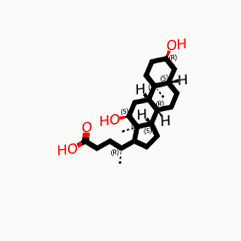 C[C@H](CCC(=O)O)C1CC[C@H]2[C@@H]3CC[C@H]4C[C@H](O)CC[C@]4(C)[C@H]3C[C@H](O)[C@]12C